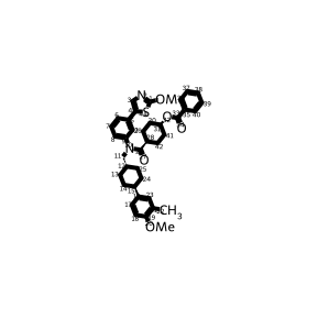 COc1ncc(-c2cccc(N(C[C@H]3CC[C@H](c4ccc(OC)c(C)c4)CC3)C(=O)[C@H]3CC[C@@H](OC(=O)c4ccccc4)CC3)c2)s1